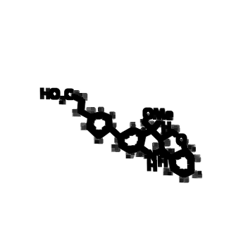 COCC1(C)c2cc(-c3ccc(C=CC(=O)O)cc3)ccc2N[C@@H]2c3ccccc3OC[C@@H]21